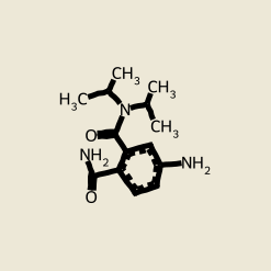 CC(C)N(C(=O)c1cc(N)ccc1C(N)=O)C(C)C